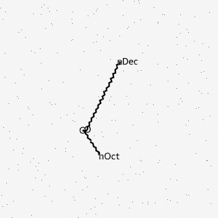 CCCCCCCCC=CCCCCCCCCCC(=O)OCCCCCCCCCCCCCCCCCCCCCCCCCCCCCCCCCCCCCCCC